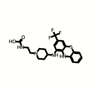 O=C(O)NCCN1CCC(Nc2cc(C(F)(F)F)cc3c2Nc2ccccc2S3)CC1